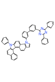 c1ccc(-c2nc(-c3ccccc3)nc(-c3cccc(-c4cccc(-n5ccc6ccc7c(ccc8c7c7c9ccccc9ccc7n8-c7ccccc7)c65)c4)c3)n2)cc1